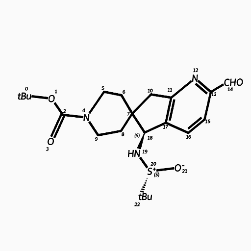 CC(C)(C)OC(=O)N1CCC2(CC1)Cc1nc(C=O)ccc1[C@H]2N[S@+]([O-])C(C)(C)C